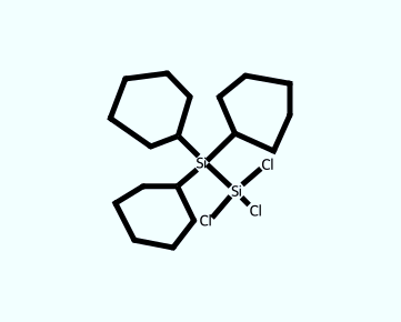 Cl[Si](Cl)(Cl)[Si](C1CCCCC1)(C1CCCCC1)C1CCCCC1